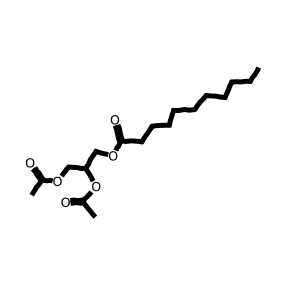 CCCCCCCCCCC(=O)OCC(COC(C)=O)OC(C)=O